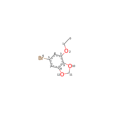 CCOc1cc(Br)cc2c1OCO2